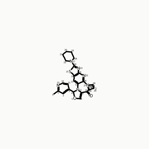 Cc1cc(C2OC=C(C(N)=O)N2c2cc3sc(N4CCCCC4)nc3nc2N2CCC2)ccn1